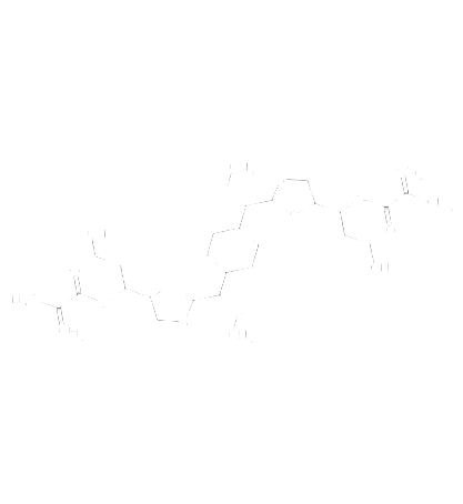 C=C(C)C(=O)SC(CCC)C1CSC(C(SC)C2CCC(C(SC)C3SCC(C(CCC)SC(=O)C(=C)C)S3)CC2)S1